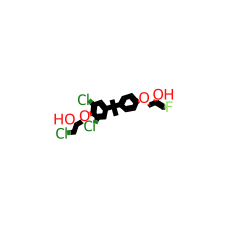 CC(C)(c1ccc(OC/C(O)=C/F)cc1)c1cc(Cl)c(OC[C@H](O)CCl)c(Cl)c1